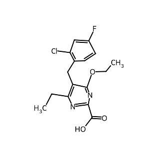 CCOc1nc(C(=O)O)nc(CC)c1Cc1ccc(F)cc1Cl